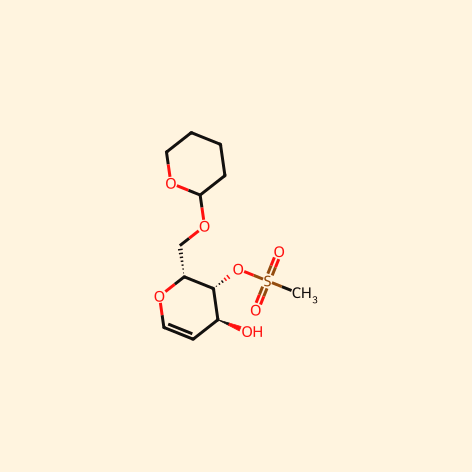 CS(=O)(=O)O[C@@H]1[C@@H](O)C=CO[C@@H]1COC1CCCCO1